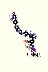 CC(NC(=O)c1noc(C(C)(C)C)n1)c1ccc(-c2ncnc3[nH]c(-c4ccc(N5CCN(CC6CCN(c7ccc(N8CCC(=O)NC8=O)cc7)CC6)CC5)nc4)cc23)cc1CO